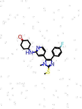 CSc1nc(-c2ccc(F)cc2)c(-c2ccnc(NC3CCC(=O)CC3)c2)n1C